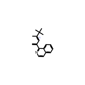 C=C(/C=C(\C)C(C)(C)C)c1nccc2ccccc12